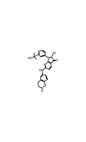 CC(C)n1c(=O)c2ccc(Nc3ccc4c(c3)CCNC4)nc2n1-c1ccnc(C(C)(C)O)c1